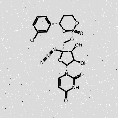 [N-]=[N+]=N[C@]1(CO[P@@]2(=O)OCC[C@@H](c3cccc(Cl)c3)O2)O[C@@H](n2ccc(=O)[nH]c2=O)[C@H](O)[C@@H]1O